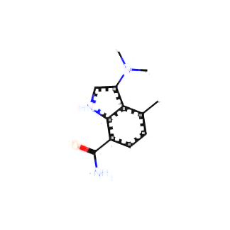 Cc1ccc(C(N)=O)c2[nH]cc(N(C)C)c12